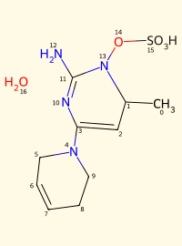 CC1C=C(N2CC=CCC2)N=C(N)N1OS(=O)(=O)O.O